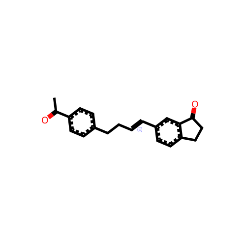 CC(=O)c1ccc(CC/C=C/c2ccc3c(c2)C(=O)CC3)cc1